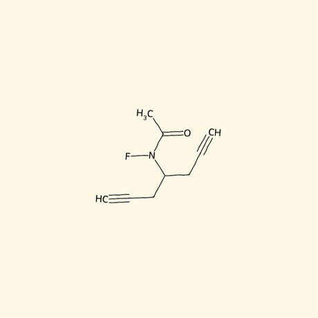 C#CCC(CC#C)N(F)C(C)=O